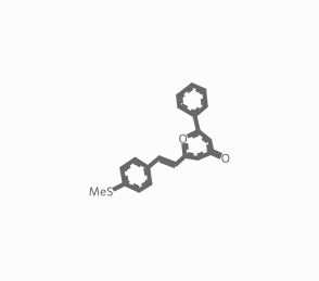 CSc1ccc(C=Cc2cc(=O)cc(-c3ccccc3)o2)cc1